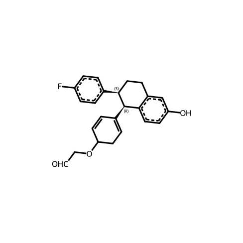 O=CCOC1C=CC([C@@H]2c3ccc(O)cc3CC[C@@H]2c2ccc(F)cc2)=CC1